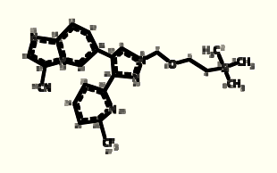 C[Si](C)(C)CCOCn1cc(-c2ccc3ncc(C#N)n3c2)c(-c2cccc(C(F)(F)F)n2)n1